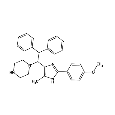 COc1ccc(-c2nc(C(C(c3ccccc3)c3ccccc3)N3CCNCC3)c(C)[nH]2)cc1